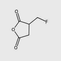 O=C1CC(CF)C(=O)O1